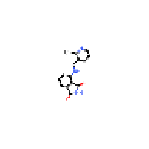 Cc1ncccc1CNc1cccc2c1C(=O)NC2=O